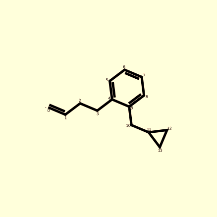 [CH]=CCCc1ccccc1CC1CC1